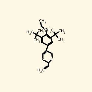 C=CC1SC=C(c2cc(C(C)(C)C)c(OCC)c(C(C)(C)C)c2)CS1